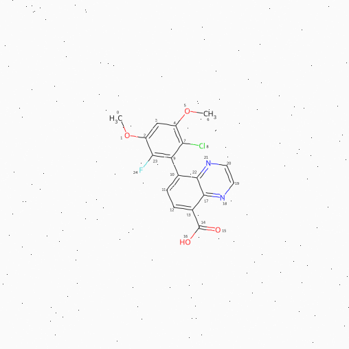 COc1cc(OC)c(Cl)c(-c2ccc(C(=O)O)c3nccnc23)c1F